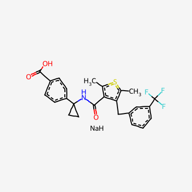 Cc1sc(C)c(C(=O)NC2(c3ccc(C(=O)O)cc3)CC2)c1Cc1cccc(C(F)(F)F)c1.[NaH]